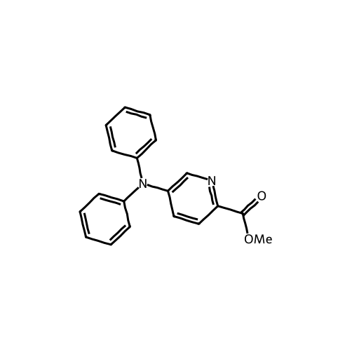 COC(=O)c1ccc(N(c2ccccc2)c2ccccc2)cn1